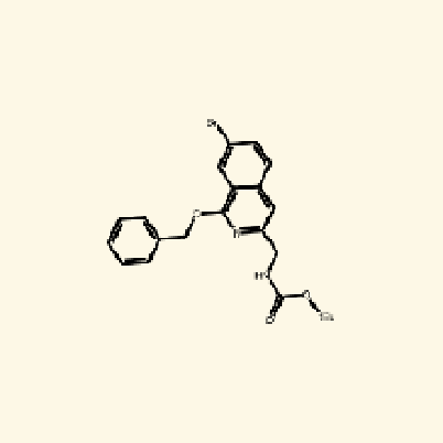 CC(C)(C)OC(=O)NCc1cc2ccc(Br)cc2c(OCc2ccccc2)n1